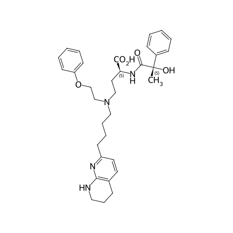 C[C@@](O)(C(=O)N[C@@H](CCN(CCCCc1ccc2c(n1)NCCC2)CCOc1ccccc1)C(=O)O)c1ccccc1